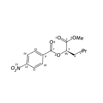 COC(=O)[C@@H](CC(C)C)OC(=O)c1ccc([N+](=O)[O-])cc1